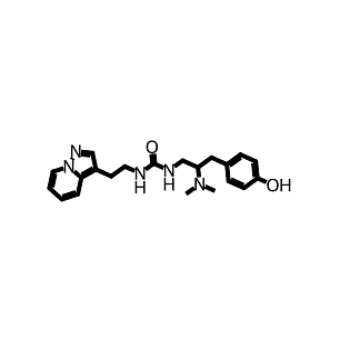 CN(C)C(CNC(=O)NCCc1cnn2ccccc12)Cc1ccc(O)cc1